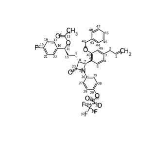 C=CCc1ccc([C@@H]2[C@@H](CC[C@H](OC(C)=O)c3ccc(F)cc3)C(=O)N2c2ccc(OS(=O)(=O)C(F)(F)F)cc2)c(OCc2ccccc2)c1